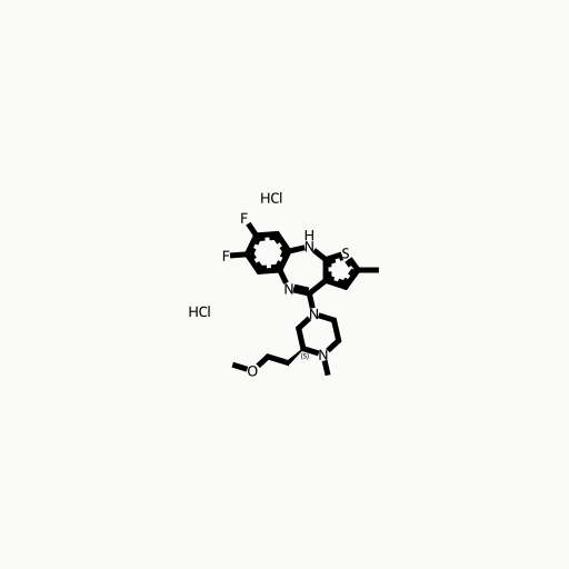 COCC[C@H]1CN(C2=Nc3cc(F)c(F)cc3Nc3sc(C)cc32)CCN1C.Cl.Cl